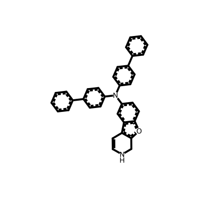 C1=Cc2c(oc3ccc(N(c4ccc(-c5ccccc5)cc4)c4ccc(-c5ccccc5)cc4)cc23)CN1